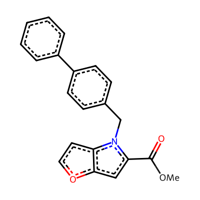 COC(=O)c1cc2occc2n1Cc1ccc(-c2ccccc2)cc1